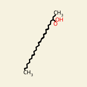 CCCCCCCC=CCCCCC=CC=CC=CC=CCCCC(CCC)C(=O)O